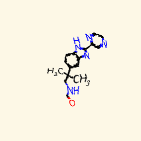 CC(C)(CNC=O)c1ccc2[nH]c(-c3cnccn3)nc2c1